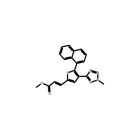 COC(=O)C=Cc1cc(-c2nnn(C)n2)c(-c2cccc3ccccc23)s1